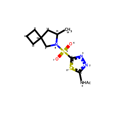 CC(=O)Nc1nnc(S(=O)(=O)N2CC3(CCC3)CC2C)s1